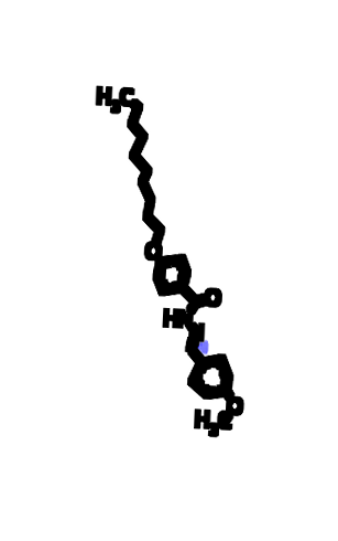 CCCCCCCCCCOc1ccc(C(=O)N/N=C/c2ccc(OC)cc2)cc1